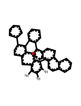 [2H]c1c([2H])c([2H])c2c([2H])c3c(-c4ccccc4-c4csc5c4ccc4c6ccccc6ccc45)c(-c4ccccc4)ccc3cc2c1[2H]